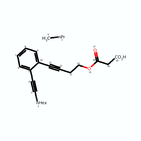 CCCC.CCCCCCC#Cc1ccccc1C#CCCOC(=O)CC(=O)O